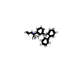 C=C/C=C(\CCC)c1cccc(-n2c3ccccc3c3ccccc32)c1